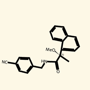 CO[C@](C)(C(=O)NCc1ccc(C#N)cc1)c1cccc2ccccc12